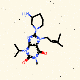 CC(C)=CCn1c(N2CCCC(N)C2)nc2c1c(=O)n(C)c(=O)n2C(C)C